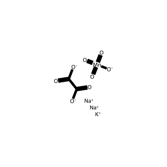 O=C([O-])C(=O)[O-].[K+].[Na+].[Na+].[O]=[Mn](=[O])(=[O])[O-]